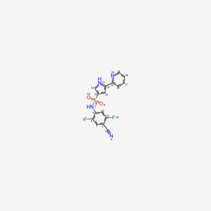 N#Cc1cc(F)c(NS(=O)(=O)c2c[nH]c(-c3ccccn3)c2)cc1F